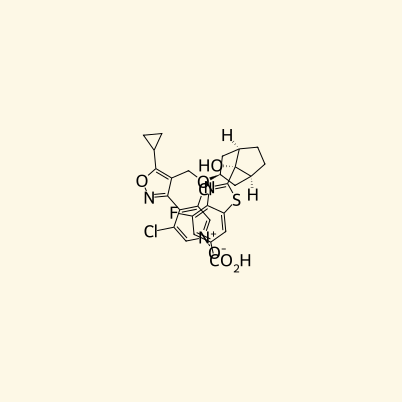 O=C(O)c1cc(F)c2nc([C@@]3(O)[C@@H]4CC[C@H]3C[C@@H](OCc3c(-c5c(Cl)c[n+]([O-])cc5Cl)noc3C3CC3)C4)sc2c1